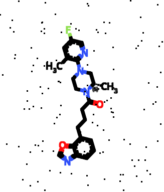 Cc1cc(F)cnc1N1CCN(C(=O)CCCc2cccc3ncoc23)[C@@H](C)C1